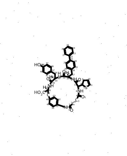 O=C1CCC(=O)NC(C2CC=CS2)C(=O)N[C@@H](Cc2ccc(-c3ccccc3)cc2)C(=O)N[C@H](Cc2ccc(O)cc2)C(=O)N[C@H](C(=O)O)Cc2ccc(cc2)N1